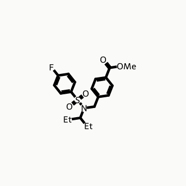 CCC(CC)N(Cc1ccc(C(=O)OC)cc1)S(=O)(=O)c1ccc(F)cc1